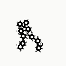 c1ccc(C2(c3ccccc3)c3ccccc3-c3c(N(c4ccc(-c5ccc6oc7ccccc7c6c5)cc4)c4cccc(-c5ccc6ccccc6c5)c4)cccc32)cc1